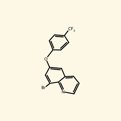 FC(F)(F)c1ccc(Oc2cc(Br)c3ncccc3c2)cc1